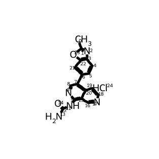 Cc1nc2ccc(-c3cnc(NC(N)=O)c4cnccc34)cc2o1.Cl